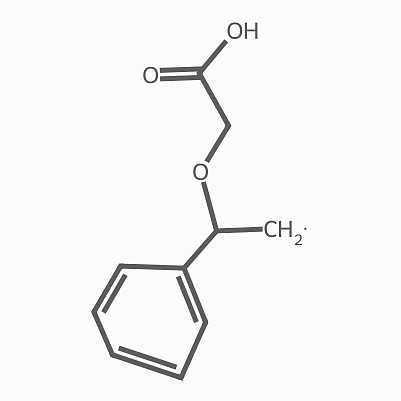 [CH2]C(OCC(=O)O)c1ccccc1